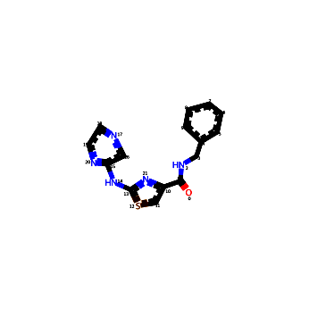 O=C(NCc1ccccc1)c1csc(Nc2cnccn2)n1